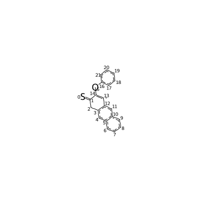 S=C1Cc2cc3ccccc3cc2[C]=C1Oc1ccccc1